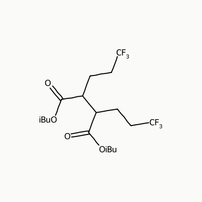 CC(C)COC(=O)C(CCC(F)(F)F)C(CCC(F)(F)F)C(=O)OCC(C)C